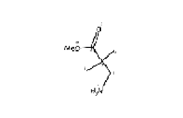 COC(=O)C(C)(C)[CH]N